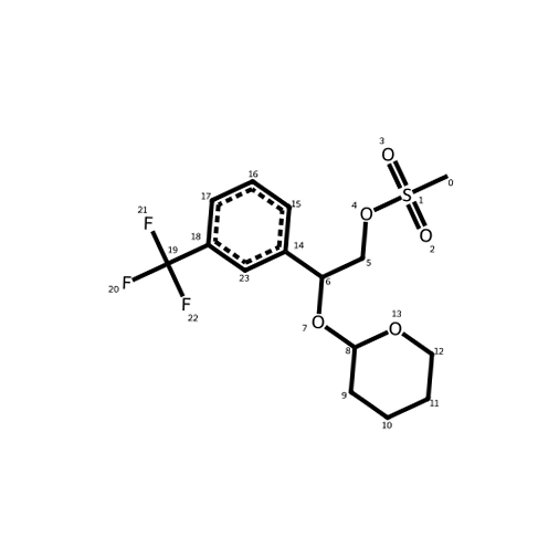 CS(=O)(=O)OCC(OC1CCCCO1)c1cccc(C(F)(F)F)c1